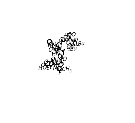 CC[C@@]1(O)C(=O)OCc2c1cc1n(c2=O)Cc2c-1nc1cc(F)c(C)c3c1c2[C@@H](NC(=O)[C@H](CC1CC1)OCNC(=O)CNC(=O)[C@H](Cc1ccccc1)NC(=O)CNC(=O)CNC(=O)[C@H](CN(CC(=O)OC(C)(C)C)C(=O)OC(C)(C)C)N1C(=O)C=CC1=O)CC3